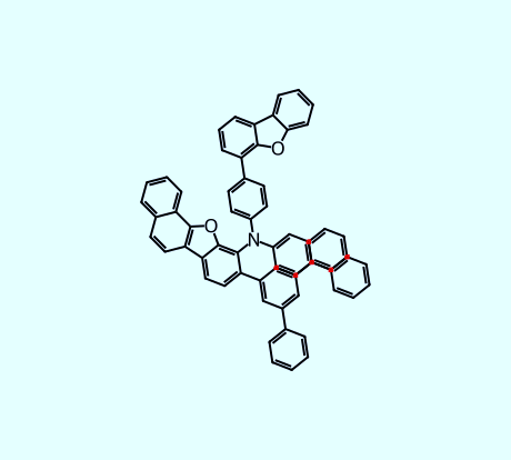 c1ccc(-c2ccc(N(c3ccc(-c4cccc5c4oc4ccccc45)cc3)c3c(-c4cc(-c5ccccc5)cc(-c5ccccc5)c4)ccc4c3oc3c5ccccc5ccc43)cc2)cc1